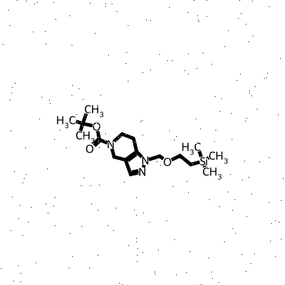 CC(C)(C)OC(=O)N1CCc2c(cnn2COCC[Si](C)(C)C)C1